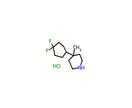 CC1(C2CCC(F)(F)CC2)CCNCC1.Cl